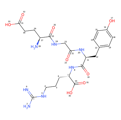 N=C(N)NCCC[C@H](NC(=O)[C@H](Cc1ccc(O)cc1)NC(=O)CNC(=O)[C@@H](N)CCC(=O)O)C(=O)O